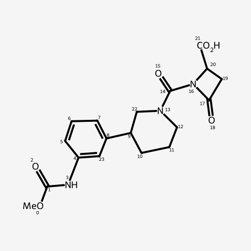 COC(=O)Nc1cccc(C2CCCN(C(=O)N3C(=O)CC3C(=O)O)C2)c1